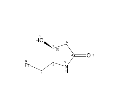 CC(C)CC1NC(=O)C[C@@H]1O